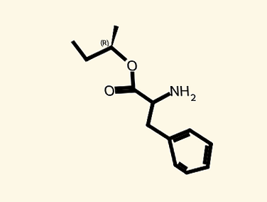 CC[C@@H](C)OC(=O)C(N)Cc1ccccc1